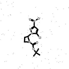 CC(C)(C)OC(=O)N1CCC1n1nc([N+](=O)[O-])cc1Cl